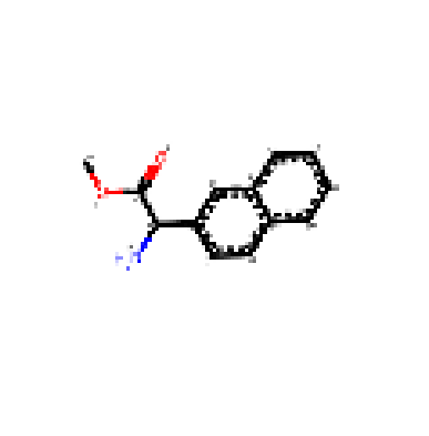 COC(=O)C(N)c1ccc2ccccc2c1